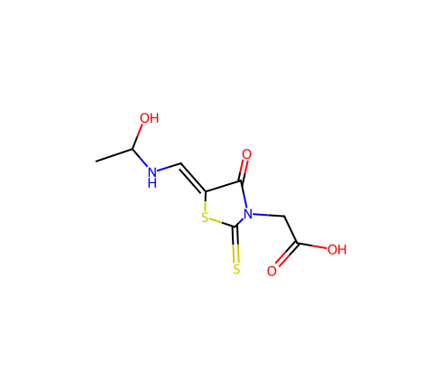 CC(O)N/C=C1\SC(=S)N(CC(=O)O)C1=O